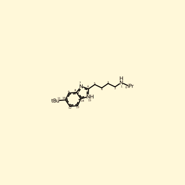 CC(C)NCCCCc1nc2cc(C(C)(C)C)ccc2[nH]1